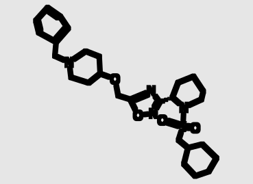 O=S(=O)(CC1CCCCC1)N1CCCC[C@H]1c1noc(COC2CCN(Cc3ccccc3)CC2)n1